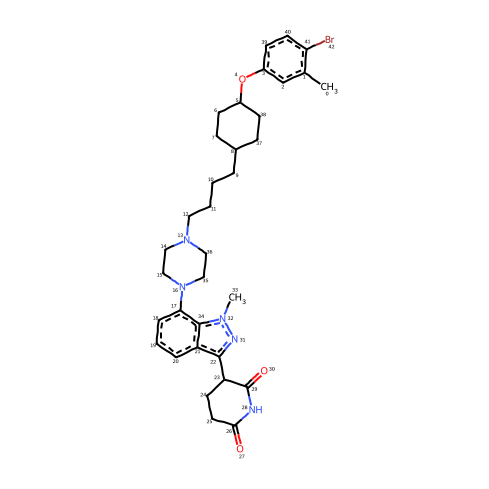 Cc1cc(OC2CCC(CCCCN3CCN(c4cccc5c(C6CCC(=O)NC6=O)nn(C)c45)CC3)CC2)ccc1Br